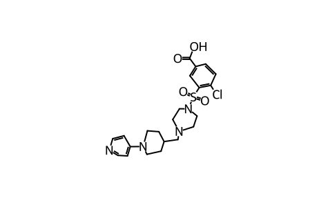 O=C(O)c1ccc(Cl)c(S(=O)(=O)N2CCN(CC3CCN(c4ccncc4)CC3)CC2)c1